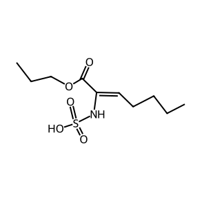 CCCCC=C(NS(=O)(=O)O)C(=O)OCCC